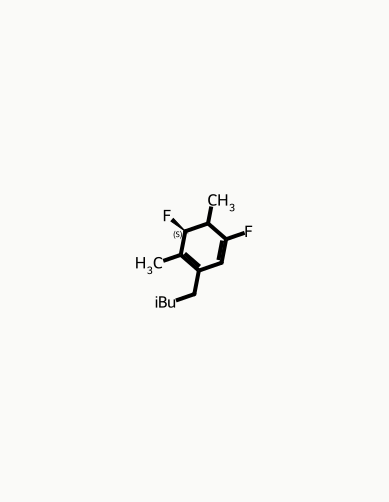 CCC(C)CC1=C(C)[C@@H](F)C(C)C(F)=C1